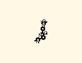 COc1c(-c2ccc(N3CC(C)O[C@@H](C)C3)cc2)cnc2c(-c3ccc(C)nc3)cccc12